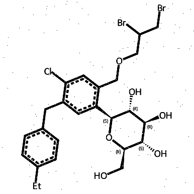 CCc1ccc(Cc2cc([C@@H]3O[C@H](CO)[C@@H](O)[C@H](O)[C@H]3O)c(COCC(Br)CBr)cc2Cl)cc1